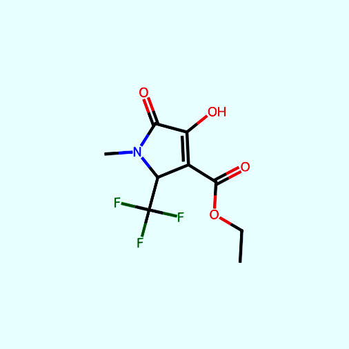 CCOC(=O)C1=C(O)C(=O)N(C)C1C(F)(F)F